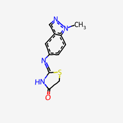 Cn1ncc2cc(/N=C3/NC(=O)CS3)ccc21